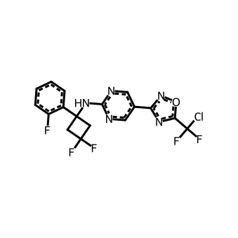 Fc1ccccc1C1(Nc2ncc(-c3noc(C(F)(F)Cl)n3)cn2)CC(F)(F)C1